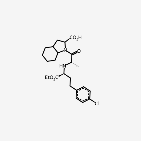 CCOC(=O)[C@H](CCc1ccc(Cl)cc1)N[C@@H](C)C(=O)N1C(C(=O)O)CC2CCCCC21